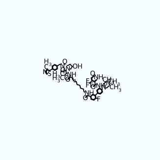 Cc1ncsc1-c1ccc(CNC(=O)[C@@H]2C[C@@H](O)CN2C(=O)[C@@H](NC(=O)CCCCCCCCNC(=O)c2ccc(F)c(-c3ccc(N4C[C@@H](C)N(C)[C@@H](C)C4)c(NC(=O)c4c[nH]c(=O)cc4C(F)(F)F)c3)c2)C(C)(C)C)cc1